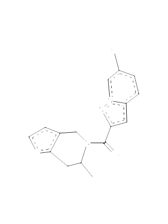 CC1Cc2sccc2CN1C(=O)c1cc2ccc(Cl)cn2n1